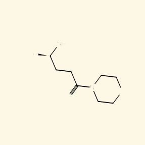 N[C@@H](CCC(=O)N1CCOCC1)C(=O)O